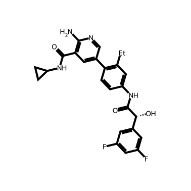 CCc1cc(NC(=O)[C@H](O)c2cc(F)cc(F)c2)ccc1-c1cnc(N)c(C(=O)NC2CC2)c1